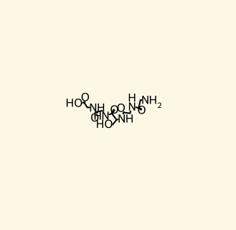 NCC(=O)NCC(=O)NC(CO)C(=O)NCC(=O)NCC(=O)O